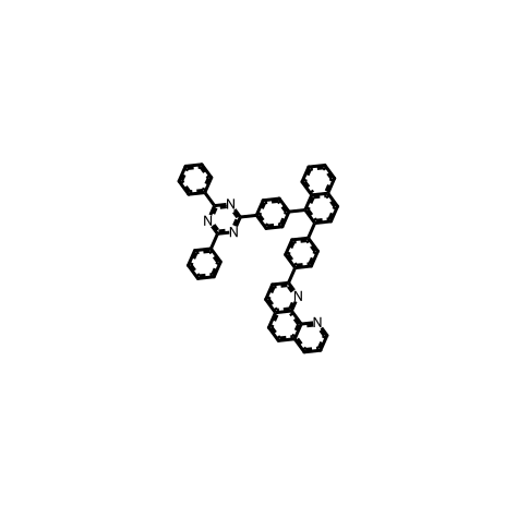 c1ccc(-c2nc(-c3ccccc3)nc(-c3ccc(-c4c(-c5ccc(-c6ccc7ccc8cccnc8c7n6)cc5)ccc5ccccc45)cc3)n2)cc1